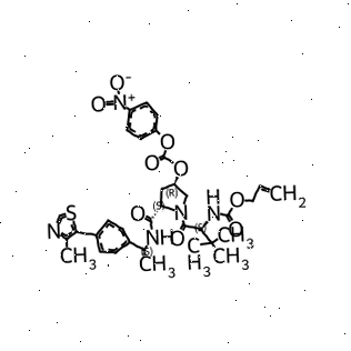 C=CCOC(=O)N[C@H](C(=O)N1C[C@H](OC(=O)Oc2ccc([N+](=O)[O-])cc2)C[C@H]1C(=O)N[C@@H](C)c1ccc(-c2scnc2C)cc1)C(C)(C)C